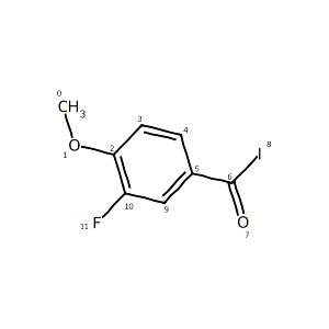 COc1ccc(C(=O)I)cc1F